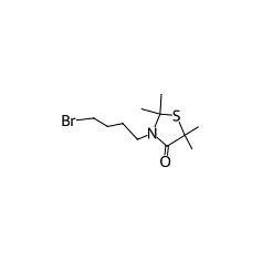 CC1(C)SC(C)(C)N(CCCCBr)C1=O